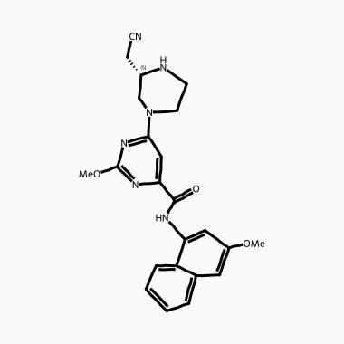 COc1cc(NC(=O)c2cc(N3CCN[C@@H](CC#N)C3)nc(OC)n2)c2ccccc2c1